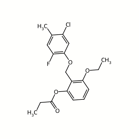 CCOc1cccc(OC(=O)CC)c1COc1cc(Cl)c(C)cc1F